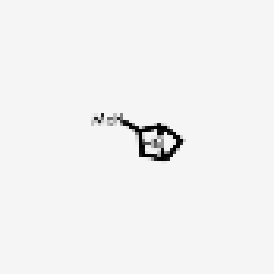 CNC1CC2CC1N2